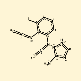 Cc1cccc(N=C=O)c1N=C=O.Nc1nc[nH]n1